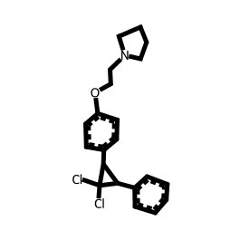 ClC1(Cl)C(c2ccccc2)C1c1ccc(OCCN2CCCC2)cc1